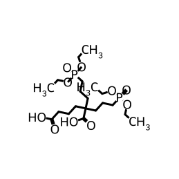 CCOP(=O)(CCCC(CCCC(=O)O)(CCCP(=O)(OCC)OCC)C(=O)O)OCC